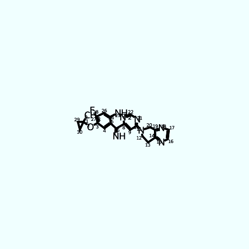 CC1(Oc2cc(C(=N)c3cc(N4CCc5nccnc5C4)ncn3)c(N)cc2F)CC1